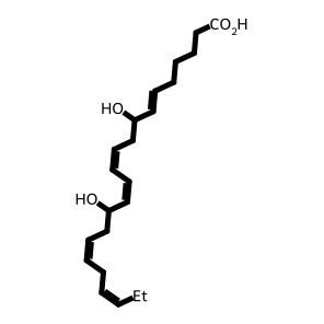 CC/C=C\C/C=C\CC(O)/C=C\C=C/CC(O)/C=C/CCCCC(=O)O